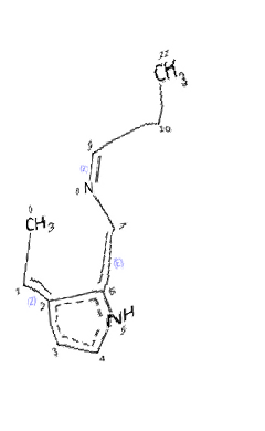 C/C=c1/cc[nH]/c1=C/N=C\CC